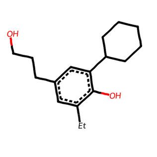 CCc1cc(CCCO)cc(C2CCCCC2)c1O